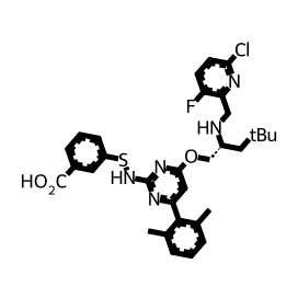 Cc1cccc(C)c1-c1cc(OC[C@@H](CC(C)(C)C)NCc2nc(Cl)ccc2F)nc(NSc2cccc(C(=O)O)c2)n1